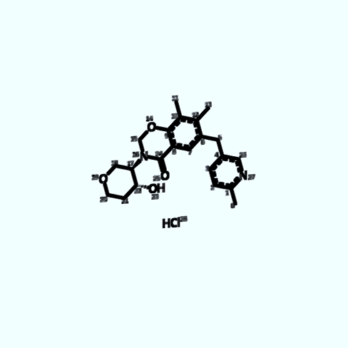 Cc1ccc(Cc2cc3c(c(C)c2C)OCN([C@@H]2COCC[C@H]2O)C3=O)cn1.Cl